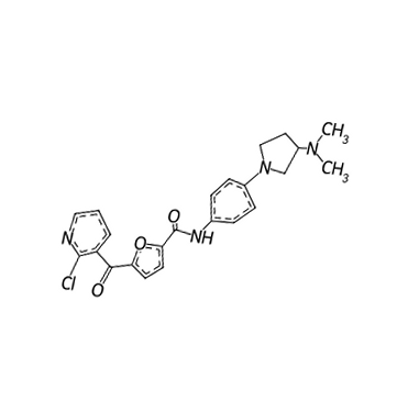 CN(C)C1CCN(c2ccc(NC(=O)c3ccc(C(=O)c4cccnc4Cl)o3)cc2)C1